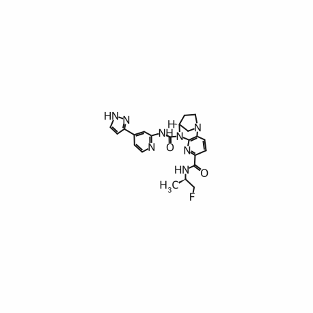 C[C@H](CF)NC(=O)c1ccc2c(n1)N(C(=O)Nc1cc(-c3cc[nH]n3)ccn1)[C@H]1CCN2C1